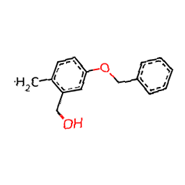 [CH2]c1ccc(OCc2ccccc2)cc1CO